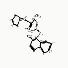 C[C@H](/N=[P+](\[O-])Oc1c(Cl)ccc2ccccc12)C(=O)OC1CCCC1